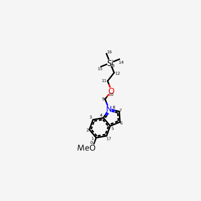 COc1ccc2c(ccn2COCC[Si](C)(C)C)c1